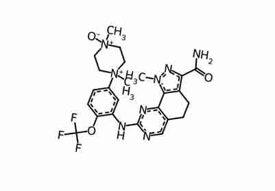 Cn1nc(C(N)=O)c2c1-c1nc(Nc3cc([N+]4(C)CC[N+](C)([O-])CC4)ccc3OC(F)(F)F)ncc1CC2